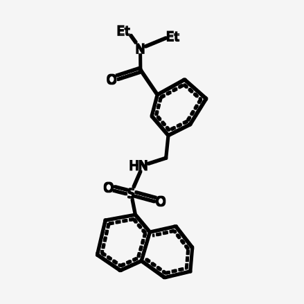 CCN(CC)C(=O)c1cccc(CNS(=O)(=O)c2cccc3ccccc23)c1